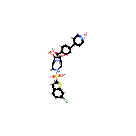 O=C(c1ccc(-c2cc[n+]([O-])cc2)cc1)N1C2CN(S(=O)(=O)c3cc4ccc(Cl)cc4s3)CC1C(O)C2O